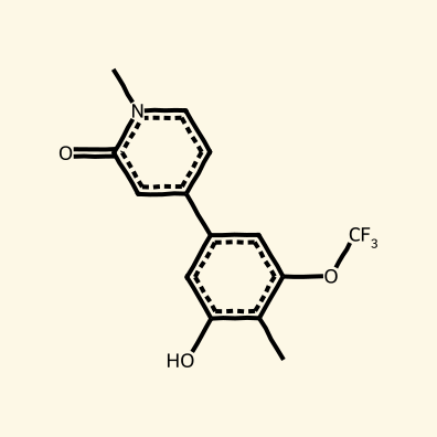 Cc1c(O)cc(-c2ccn(C)c(=O)c2)cc1OC(F)(F)F